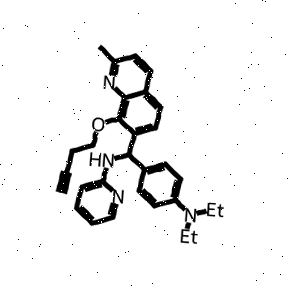 C#CCCOc1c(C(Nc2ccccn2)c2ccc(N(CC)CC)cc2)ccc2ccc(C)nc12